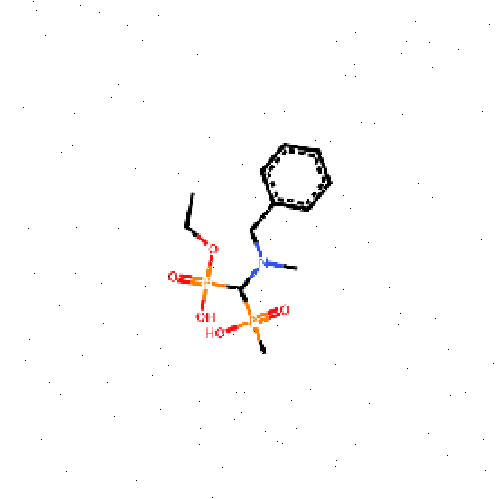 CCOP(=O)(O)C(N(C)Cc1ccccc1)P(C)(=O)O